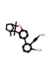 CC12CCC(C1)C1(C)Oc3ccc(-c4cccc(C(=O)O)c4C#CC=O)cc3C21C